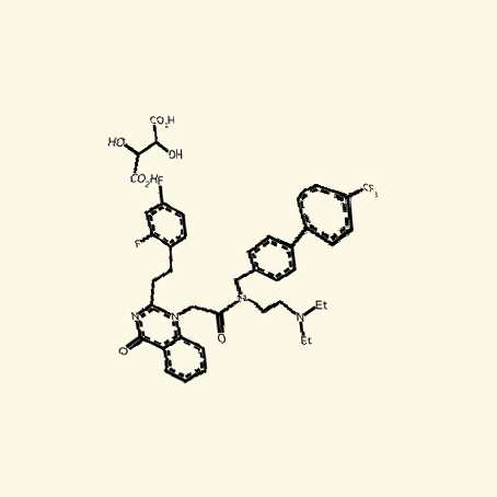 CCN(CC)CCN(Cc1ccc(-c2ccc(C(F)(F)F)cc2)cc1)C(=O)Cn1c(CCc2ccc(F)cc2F)nc(=O)c2ccccc21.O=C(O)C(O)C(O)C(=O)O